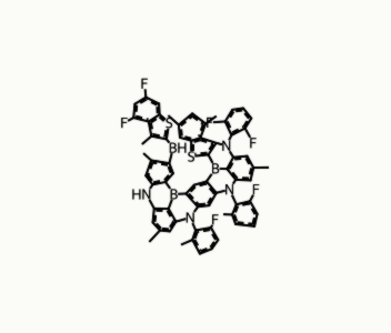 Cc1cc2c3c(c1)N(c1c(C)cccc1F)c1cc4c(cc1B3c1cc(Bc3sc5cc(F)cc(F)c5c3C)c(C)cc1N2)B1c2sc3cc(C)cc(C)c3c2N(c2c(F)cccc2F)c2cc(C)cc(c21)N4c1c(C)cccc1F